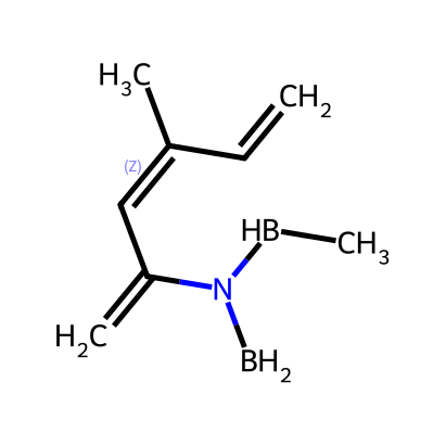 BN(BC)C(=C)/C=C(/C)C=C